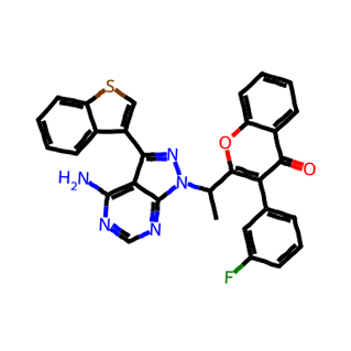 CC(c1oc2ccccc2c(=O)c1-c1cccc(F)c1)n1nc(-c2csc3ccccc23)c2c(N)ncnc21